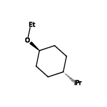 CCO[C@H]1CC[C@H](C(C)C)CC1